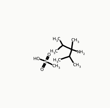 CC(C)C(C)(N)C(C)C.CS(=O)(=O)O